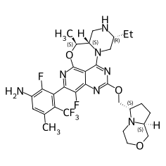 CC[C@@H]1CN2c3nc(OC[C@@H]4CC[C@H]5COCCN54)nc4c(F)c(-c5c(F)c(N)cc(C)c5C(F)(F)F)nc(c34)O[C@@H](C)[C@@H]2CN1